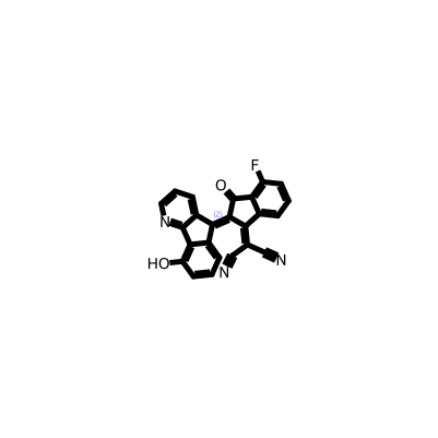 N#CC(C#N)=C1/C(=C2/c3cccnc3-c3c(O)cccc32)C(=O)c2c(F)cccc21